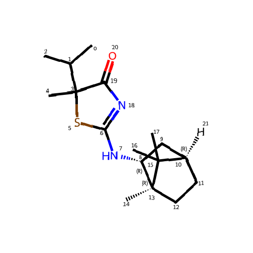 CC(C)C1(C)SC(N[C@@H]2C[C@H]3CC[C@]2(C)C3(C)C)=NC1=O